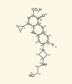 O=C(O)c1cn(C2CC2)c2nc3cc(N4CC(NCCO)C4)c(F)cc3cc2c1=O